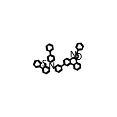 c1ccc(-c2ccc(N(c3cccc(-c4ccc5c(c4)c4ccccc4c4oc(-c6ccccc6)nc54)c3)c3cccc4c3sc3ccccc34)cc2)cc1